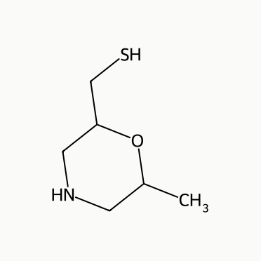 CC1CNCC(CS)O1